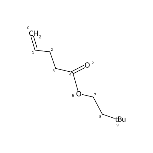 C=CCCC(=O)OCCC(C)(C)C